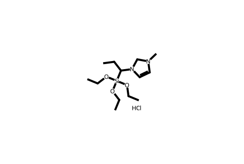 CCO[Si](OCC)(OCC)C(CC)N1C=CN(C)C1.Cl